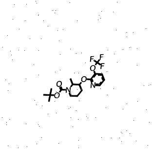 CC1C(Oc2ncccc2OC(F)(F)F)CCCN1C(=O)OC(C)(C)C